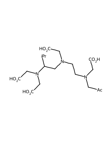 CC(=O)CN(CCN(CC(=O)O)CC(C(C)C)N(CC(=O)O)CC(=O)O)CC(=O)O